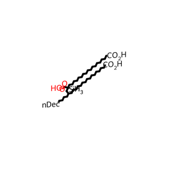 CCCCCCCCCCCCCCC(CCCCCCCCCCCCCCCC(=O)O)CC([SiH3])(CCCCCCCCCCCCCCCCCC(=O)O)C(=O)OO